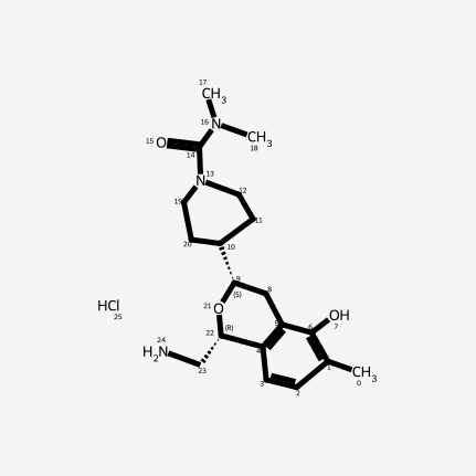 Cc1ccc2c(c1O)C[C@@H](C1CCN(C(=O)N(C)C)CC1)O[C@H]2CN.Cl